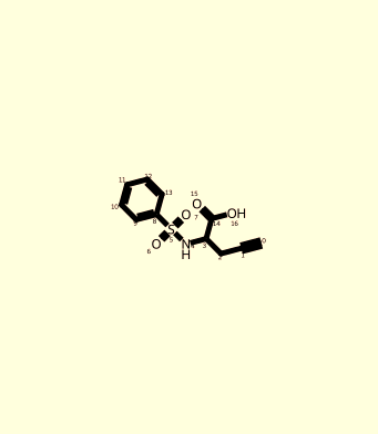 C#CCC(NS(=O)(=O)c1ccccc1)C(=O)O